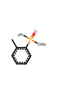 CCCP(=O)(OC)c1ccccc1C